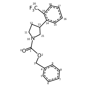 O=C(OCc1ccccc1)N1CCC(c2ccccc2C(F)(F)F)C1